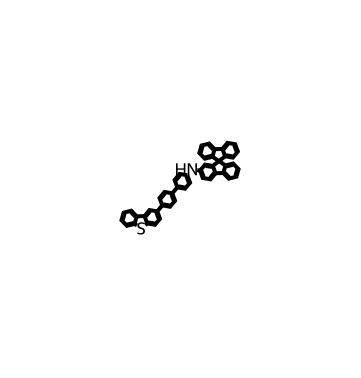 c1ccc2c(c1)-c1ccccc1C21c2ccccc2-c2ccc(Nc3ccc(-c4ccc(-c5ccc6sc7ccccc7c6c5)cc4)cc3)cc21